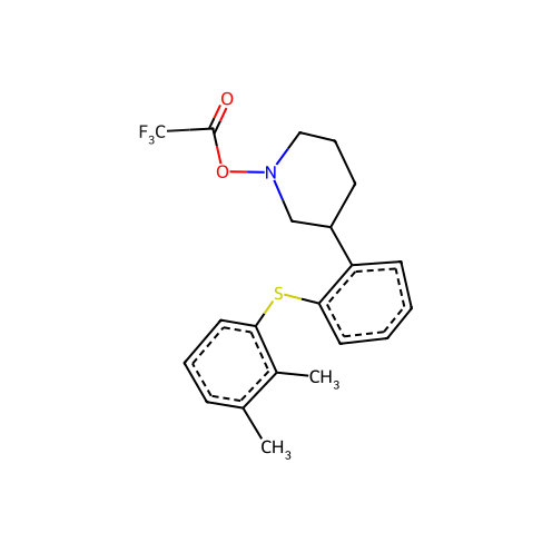 Cc1cccc(Sc2ccccc2C2CCCN(OC(=O)C(F)(F)F)C2)c1C